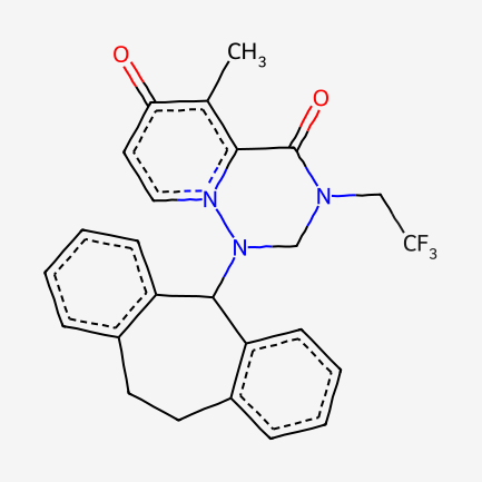 Cc1c2n(ccc1=O)N(C1c3ccccc3CCc3ccccc31)CN(CC(F)(F)F)C2=O